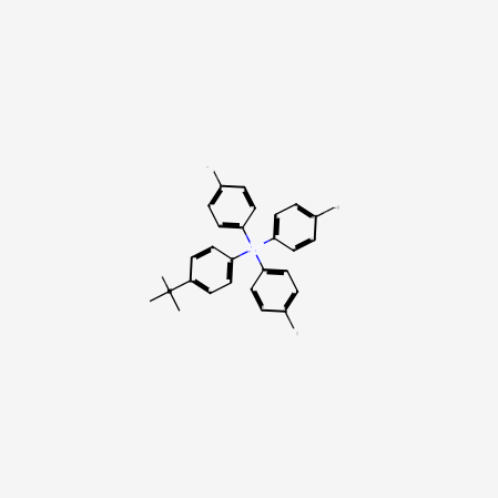 CCC(C)(C)c1ccc([N+](c2ccc(C(C)C)cc2)(c2ccc(C(C)C)cc2)c2ccc(C(C)(C)C)cc2)cc1